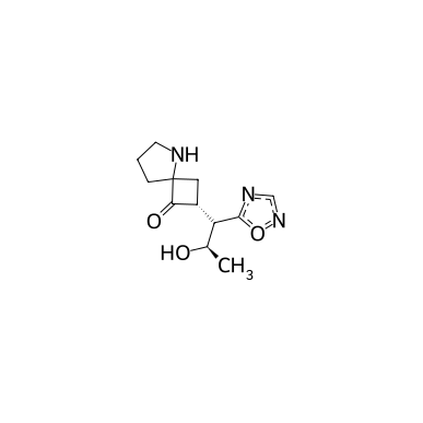 C[C@@H](O)C(c1ncno1)[C@H]1CC2(CCCN2)C1=O